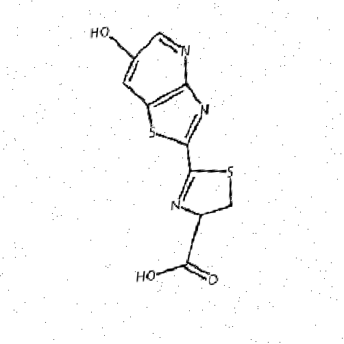 O=C(O)C1CSC(c2nc3ncc(O)cc3s2)=N1